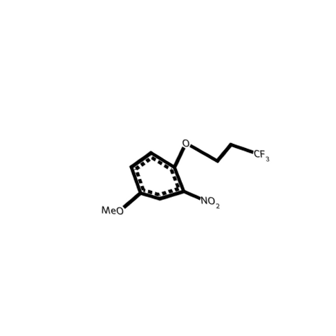 COc1ccc(OCCC(F)(F)F)c([N+](=O)[O-])c1